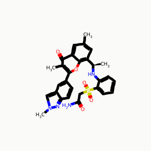 Cc1cc([C@@H](C)Nc2ccccc2S(=O)(=O)CC(N)=O)c2oc(-c3ccc4nn(C)cc4c3)c(C)c(=O)c2c1